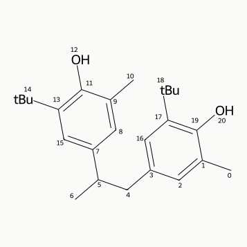 Cc1cc(CC(C)c2cc(C)c(O)c(C(C)(C)C)c2)cc(C(C)(C)C)c1O